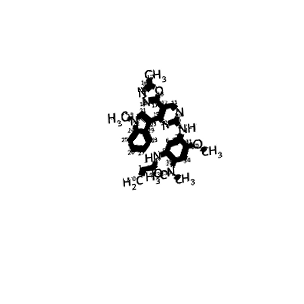 C=CC(=O)Nc1cc(Nc2ncc(-c3nnc(C)o3)c(-c3cn(C)c4ccccc34)n2)c(OC)cc1N(C)C